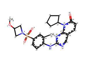 COC1CN(S(=O)(=O)c2ccc(Nc3ncc4ccc(=O)n(C5CCCC5)c4n3)c(C)c2)C1